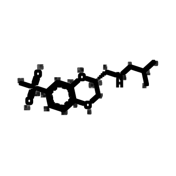 CC(C)CNC[C@@H]1COc2ccc(S(C)(=O)=O)cc2O1